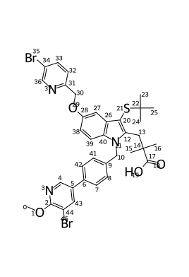 COc1ncc(-c2ccc(Cn3c(CC(C)(C)C(=O)O)c(SC(C)(C)C)c4cc(OCc5ccc(Br)cn5)ccc43)cc2)cc1Br